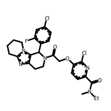 CCN(C)C(=O)c1ccc(OCC(=O)N2CCc3nc4n(c3C2c2ccc(Cl)cc2F)CCCC4)c(Cl)n1